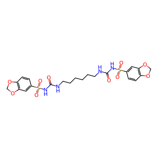 O=C(NCCCCCCNC(=O)NS(=O)(=O)c1ccc2c(c1)OCO2)NS(=O)(=O)c1ccc2c(c1)OCO2